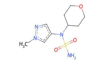 Cn1cc(N(C2CCOCC2)S(N)(=O)=O)cn1